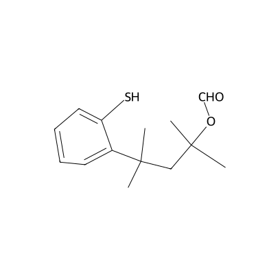 CC(C)(CC(C)(C)c1ccccc1S)OC=O